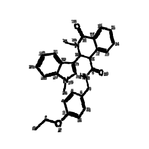 CCOc1ccc(CNC(=O)C2c3ccccc3C(=O)N(C)C2c2cn(C)c3ccccc23)cc1